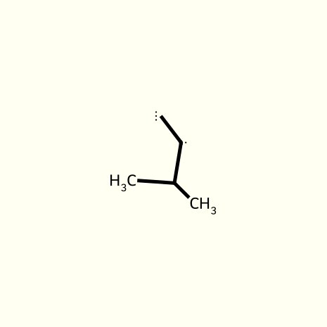 [C][CH]C(C)C